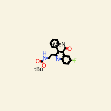 CNC(=O)c1c(-c2ccccc2)c(CCNC(=O)OC(C)(C)C)nc2ccc(F)cc12